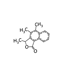 Cc1c2c(c3ccccc3c1C)C(=O)OC2C